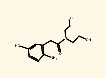 Nc1ccc(O)cc1CC(=O)N(CCO)CCO